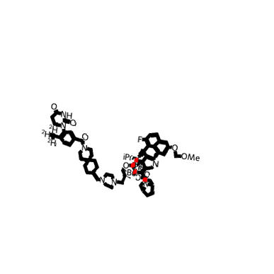 [2H]C([2H])([2H])c1ccc(C(=O)N2CCC3(CCC(CN4CCN(C[C@@H](C)COc5nc(N6CC7CCC(C6)N7C(=O)OC(C)(C)C)c6cnc(-c7cc(OCOC)cc8ccc(F)c(C#C[Si](C(C)C)(C(C)C)C(C)C)c78)c(F)c6n5)CC4)CC3)CC2)cc1N1CCC(=O)NC1=O